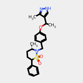 Cc1n[nH]cc1C(C)Oc1ccc(CN2[C@@H](C)CCC(c3ccccc3)S2(=O)=O)cc1